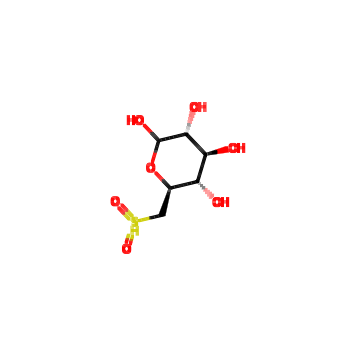 O=[SH](=O)C[C@H]1OC(O)[C@H](O)[C@@H](O)[C@@H]1O